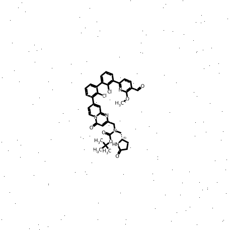 COc1nc(-c2cccc(-c3cccc(-c4ccn5c(=O)cc(CN(C[C@@H]6CCC(=O)N6)C(=O)OC(C)(C)C)nc5c4)c3Cl)c2Cl)ccc1C=O